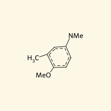 CNc1ccc(OC)c(C)c1